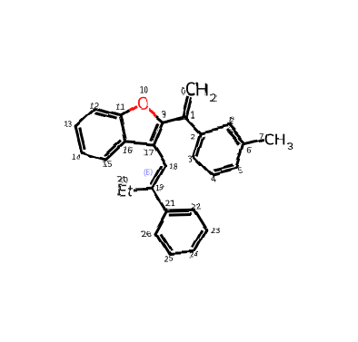 C=C(c1cccc(C)c1)c1oc2ccccc2c1/C=C(\CC)c1ccccc1